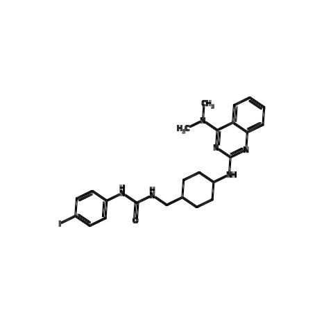 CN(C)c1nc(NC2CCC(CNC(=O)Nc3ccc(I)cc3)CC2)nc2ccccc12